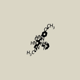 CCOc1ccc2nc(-c3c(NCc4ncccn4)c4nn(CC)cc4[nH]c3=O)[nH]c2c1